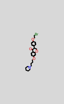 O=C1c2ccc(OCCCCN3CCCCC3)cc2OCC1c1ccc(OCCBr)cc1